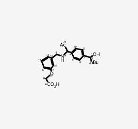 CCCCC(O)c1ccc(C(NCc2cccc(OCC(=O)O)c2)C(C)=O)cc1